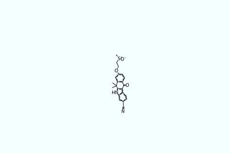 C[S@@+]([O-])CCOc1ccc2c(c1)C(C)(C)c1[nH]c3cc(C#N)ccc3c1C2=O